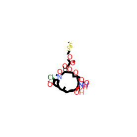 COc1cc2cc(c1Cl)N(C)C(=O)C[C@H](OC(=O)C(COCCSSC)OC)[C@@]1(C)CC(C)(O1)C1C[C@@](O)(NC(=O)O1)[C@H](O)/C=C/C=C(\C)C2